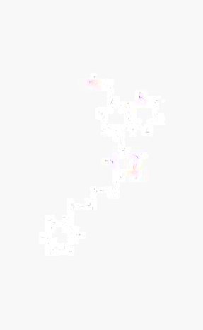 OCc1ccc(-c2noc(CCCCc3ccccc3)n2)c2cccnc12